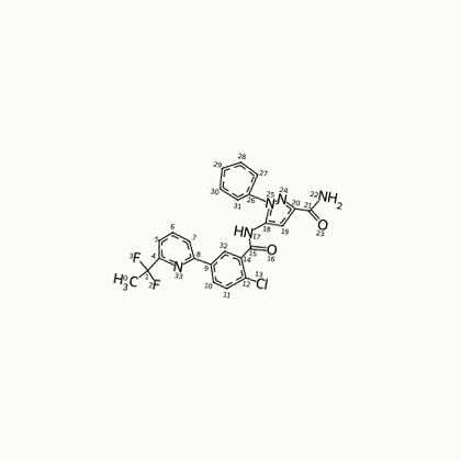 CC(F)(F)c1cccc(-c2ccc(Cl)c(C(=O)Nc3cc(C(N)=O)nn3-c3ccccc3)c2)n1